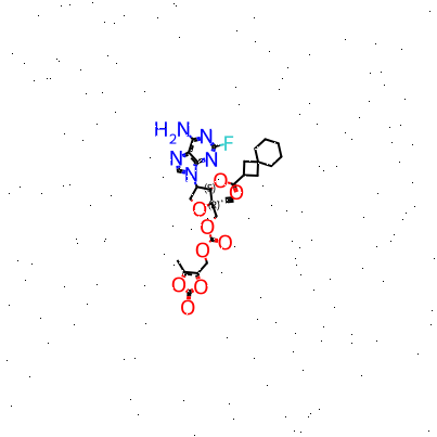 C#C[C@]1(COC(=O)OCc2oc(=O)oc2C)OCC(n2cnc3c(N)nc(F)nc32)[C@@H]1OC(=O)C1CC2(CCCCC2)C1